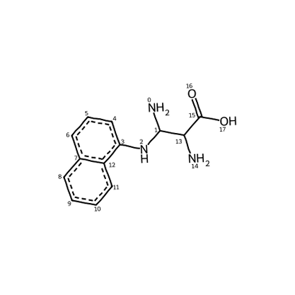 NC(Nc1cccc2ccccc12)C(N)C(=O)O